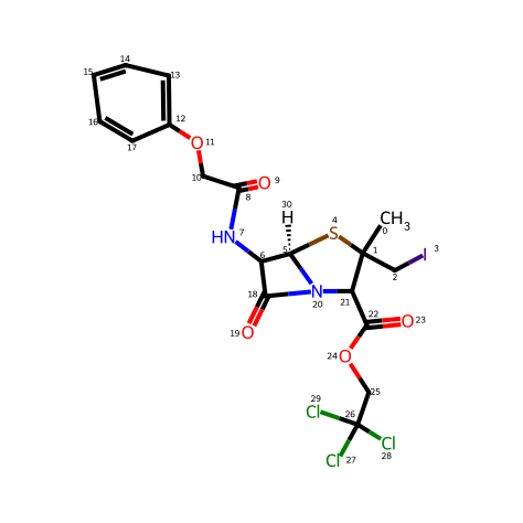 CC1(CI)S[C@@H]2C(NC(=O)COc3ccccc3)C(=O)N2C1C(=O)OCC(Cl)(Cl)Cl